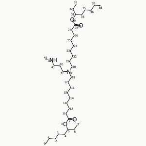 CCCCCC(CC)OC(=O)CCCCCCCCN(CCCCCCCCC(=O)OC(CC)CCCCC)CCCNC